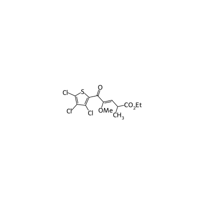 CCOC(=O)C(C)/C=C(\OC)C(=O)c1sc(Cl)c(Cl)c1Cl